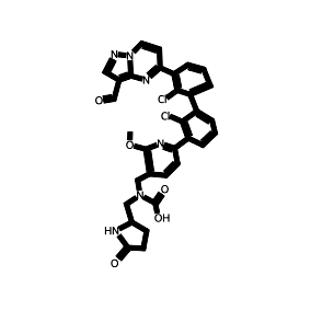 COc1nc(-c2cccc(-c3cccc(-c4ccn5ncc(C=O)c5n4)c3Cl)c2Cl)ccc1CN(CC1CCC(=O)N1)C(=O)O